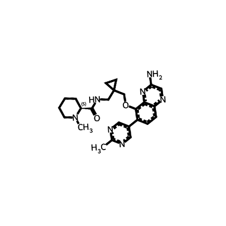 Cc1ncc(-c2ccc3ncc(N)nc3c2OCC2(CNC(=O)[C@@H]3CCCCN3C)CC2)cn1